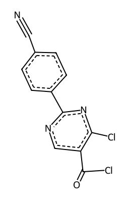 N#Cc1ccc(-c2ncc(C(=O)Cl)c(Cl)n2)cc1